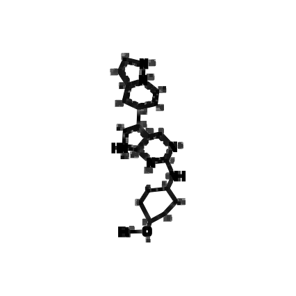 CCOC1CCC(Nc2ncc3c(-c4ccn5nccc5c4)c[nH]c3n2)CC1